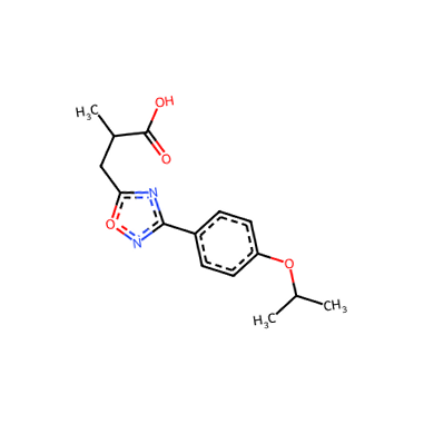 CC(C)Oc1ccc(-c2noc(CC(C)C(=O)O)n2)cc1